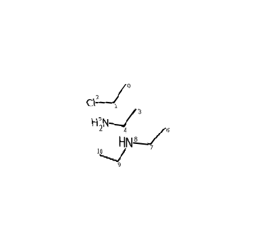 CCCl.CCN.CCNCC